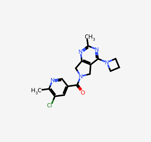 Cc1nc2c(c(N3CCC3)n1)CN(C(=O)c1cnc(C)c(Cl)c1)C2